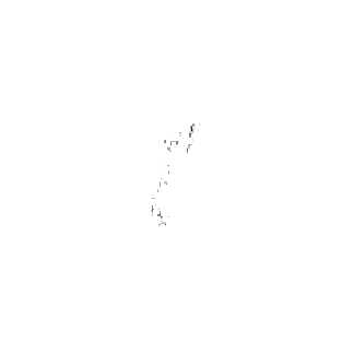 O=C1CCC(N2Cc3cc(OC[C@@H](O)CN4CC5(C4)CN(c4ccc(-c6cnc7[nH]cc(C(=O)c8c(F)ccc(NS(=O)(=O)N9CC[C@@H](F)C9)c8F)c7c6)cc4)C5)ccc3C2=O)C(=O)N1